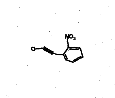 O=[N+]([O-])c1ccccc1C#CCl